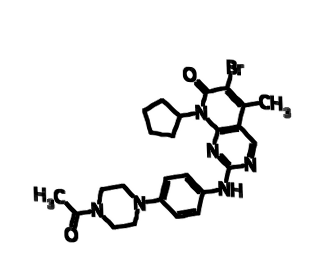 CC(=O)N1CCN(c2ccc(Nc3ncc4c(C)c(Br)c(=O)n(C5CCCC5)c4n3)cc2)CC1